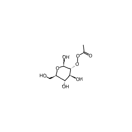 CC(=O)OO[C@@H]1[C@@H](O)[C@H](O)[C@@H](CO)O[C@H]1O